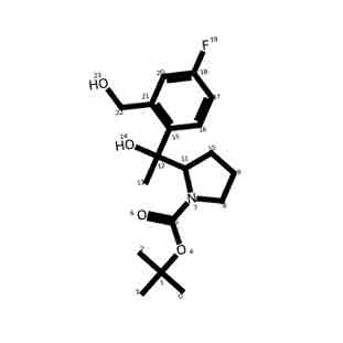 CC(C)(C)OC(=O)N1CCCC1C(C)(O)c1ccc(F)cc1CO